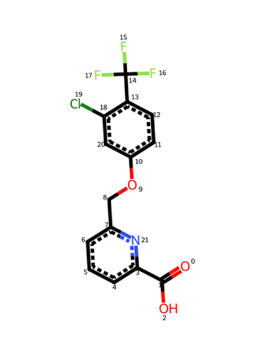 O=C(O)c1cccc(COc2ccc(C(F)(F)F)c(Cl)c2)n1